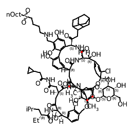 CCCCCCCCS(=O)(=O)CCCCNCc1c(O)cc2c(c1O)-c1cc(ccc1O)[C@H]1CC(=O)[C@@H]3NC(=O)[C@H](CC(=O)NC(=O)CC4CC4)CC(=O)[C@H](NC(=O)[C@H](CC)CC(C)C)[C@H](O)c4ccc(c(Cl)c4)Oc4cc3cc(c4O[C@@H]3O[C@H](CO)[C@@H](O)[C@H](O)[C@H]3O[C@H]3C[C@](C)(N)[C@H](O)[C@H](C)O3)O[C@@H]3CC=C(C=C3Cl)[C@@H](O)[C@H](NC1=O)C(=O)N[C@@H]2C(=O)CC1C2CC3CC(C2)CC1C3